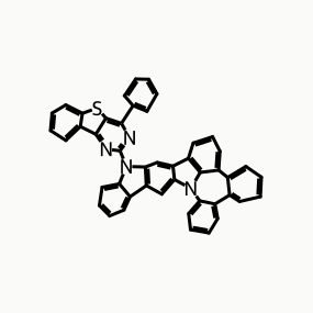 c1ccc(-c2nc(-n3c4ccccc4c4cc5c(cc43)c3cccc4c3n5-c3ccccc3-c3ccccc3-4)nc3c2sc2ccccc23)cc1